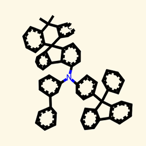 CC1(C)c2ccccc2C2(c3ccccc3-c3c(N(c4ccc(C5(c6ccccc6)c6ccccc6-c6ccccc65)cc4)c4cccc(-c5ccccc5)c4)cccc32)c2ccccc21